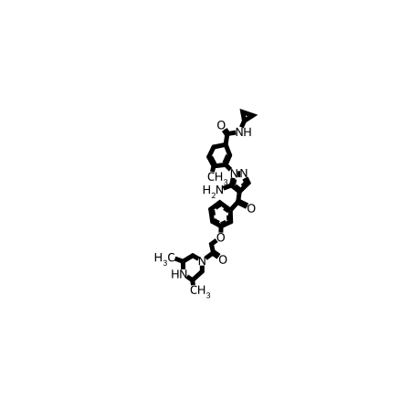 CC1=CCC(C(=O)NC2CC2)C=C1n1ncc(C(=O)c2cccc(OCC(=O)N3CC(C)NC(C)C3)c2)c1N